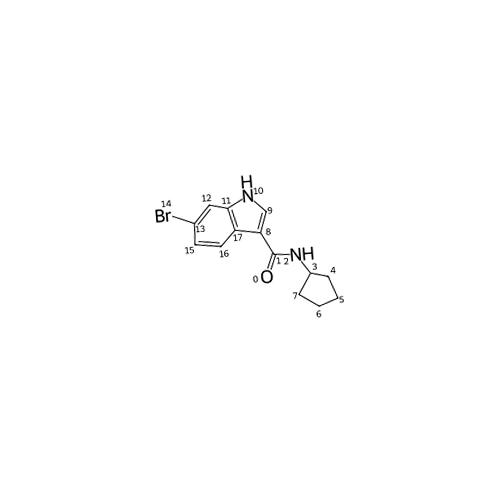 O=C(NC1CCCC1)c1c[nH]c2cc(Br)ccc12